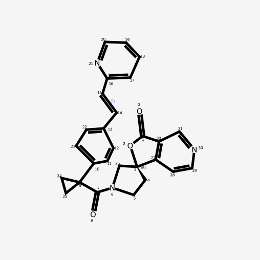 O=C1O[C@]2(CCN(C(=O)C3(c4ccc(/C=C/c5ccccn5)cc4)CC3)C2)c2ccncc21